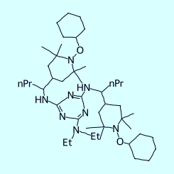 CCCC(Nc1nc(NC(CCC)C2CC(C)(C)N(OC3CCCCC3)C(C)(C)C2)nc(N(CC)CC)n1)C1CC(C)(C)N(OC2CCCCC2)C(C)(C)C1